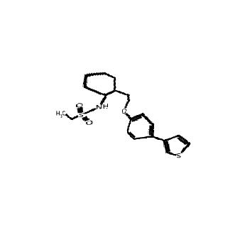 CCS(=O)(=O)NC1CCCCC1COc1ccc(-c2ccsc2)cc1